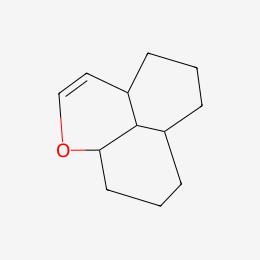 C1=CC2CCCC3CCCC(O1)C23